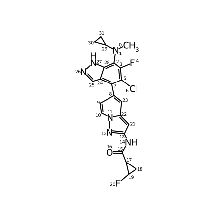 CN(c1c(F)c(Cl)c(-c2ccn3nc(NC(=O)C4CC4F)cc3c2)c2cn[nH]c12)C1CC1